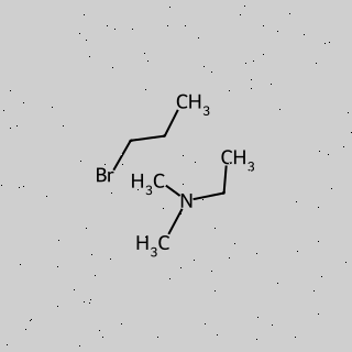 CCCBr.CCN(C)C